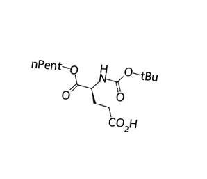 CCCCCOC(=O)[C@H](CCC(=O)O)NC(=O)OC(C)(C)C